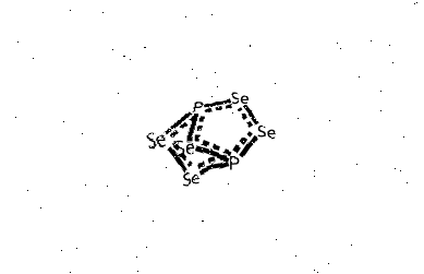 [se]1[se]p2[se][se]p1[se]2